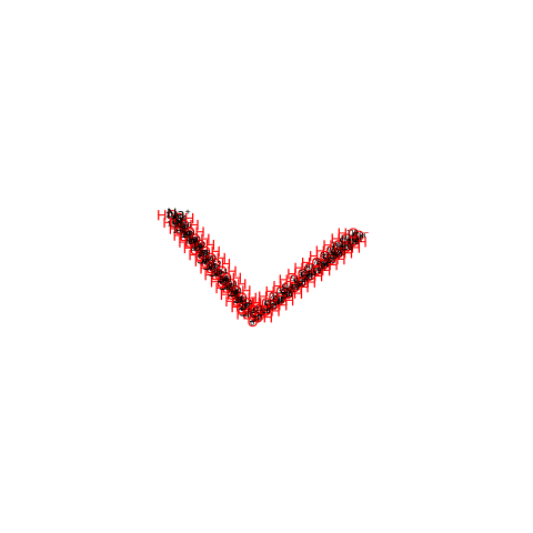 O=[Si](O)O.O=[Si](O)O.O=[Si](O)O.O=[Si](O)O.O=[Si](O)O.O=[Si](O)O.O=[Si](O)O.O=[Si](O)O.O=[Si](O)O.O=[Si](O)O.O=[Si](O)O.O=[Si](O)O.O=[Si](O)O.O=[Si](O)O.O=[Si](O)O.O=[Si](O)O.O=[Si](O)O.O=[Si](O)O.O=[Si](O)O.O=[Si](O)O.O=[Si](O)O.O=[Si](O)O.O=[Si](O)O.O=[Si](O)O.O=[Si](O)O.O=[Si](O)O.O=[Si](O)O.O=[Si](O)O.O=[Si](O)O.O=[Si]([O-])O.[Na+]